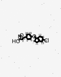 Oc1cc(-c2ccc(OC3CCc4cc(Cl)ccc43)cc2)on1